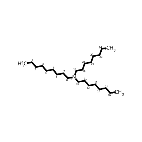 CCCCCCCCCN(CCCCCCCC)CCCCCCCC